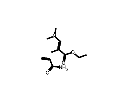 C=CC(N)=O.CCOC(=O)C(C)=CN(C)C